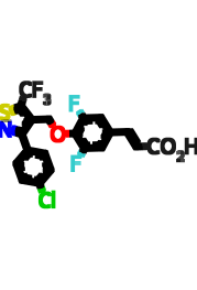 O=C(O)/C=C/c1cc(F)c(OCc2c(-c3ccc(Cl)cc3)nsc2C(F)(F)F)c(F)c1